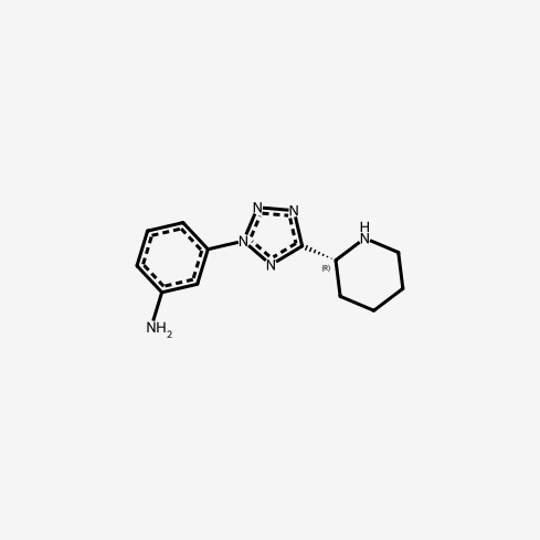 Nc1cccc(-n2nnc([C@H]3CCCCN3)n2)c1